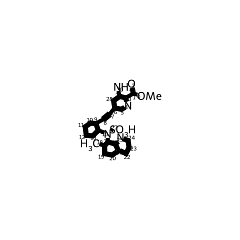 COC(=O)c1ncc(C#Cc2ccccc2N(c2c(C)ccc3cccnc23)S(=O)(=O)O)cc1N